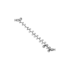 O=C(O)CCCCCCCCCCCCCCCCCCCCC(=O)OCOC(=O)O